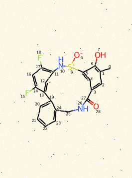 Cc1cc2cc(c1O)[S+]([O-])Nc1cc(c(F)cc1F)-c1ccccc1CNC2=O